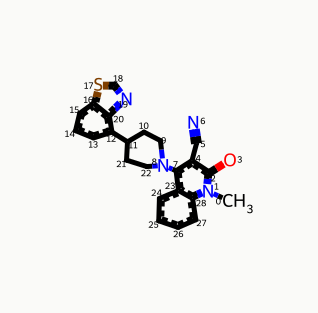 Cn1c(=O)c(C#N)c(N2CCC(c3cccc4scnc34)CC2)c2ccccc21